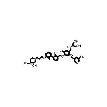 Cc1c(OCCCN2CC[C@H](CO)[C@H](O)C2)cccc1-c1cccc(COc2cc(OCc3cncc(C#N)c3)c(CNC(CO)CO)cc2Cl)c1Cl